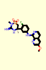 COc1cnc2c(Nc3ccc(F)c([C@]4(C)CS(=O)(=O)N(C)C(=N)N4)c3)nccc2c1